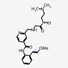 CCN(CCN(C)C)C(=O)CNCc1cc(C(=O)Nc2ccccc2/C=C/OC)ccn1